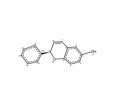 Oc1ccc2c(c1)C=C[C@H](c1ccccc1)O2